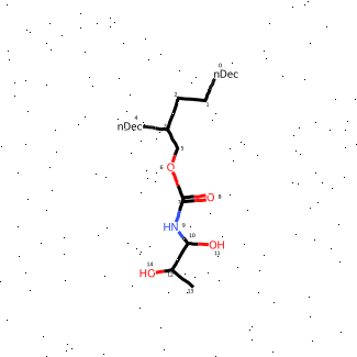 CCCCCCCCCCCCC(CCCCCCCCCC)COC(=O)NC(O)C(C)O